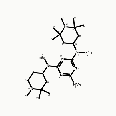 CCCCN(c1nc(NC)nc(N(CCCC)C2CC(C)(C)N(C)C(C)(C)C2)n1)C1CCN(C)C(C)(C)C1